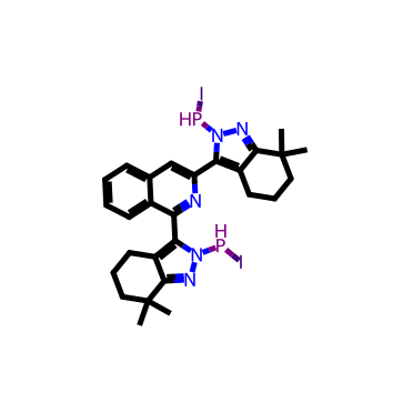 CC1(C)CCCc2c1nn(PI)c2-c1cc2ccccc2c(-c2c3c(nn2PI)C(C)(C)CCC3)n1